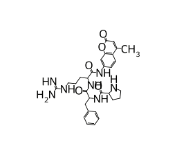 Cc1cc(=O)oc2cc(NC(=O)C(CCCNC(=N)N)NC(=O)C(Cc3ccccc3)NC(=O)C3CCCN3)ccc12